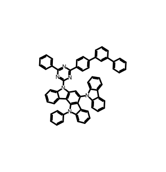 c1ccc(-c2cccc(-c3ccc(-c4nc(-c5ccccc5)nc(-n5c6ccccc6c6c5cc(-n5c7ccccc7c7ccccc75)c5c7ccccc7n(-c7ccccc7)c56)n4)cc3)c2)cc1